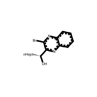 CCCCCCC[C@@H](O)c1nc2ccccc2nc1Br